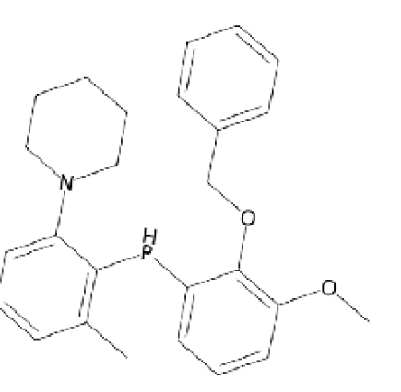 COc1cccc(Pc2c(C)cccc2N2CCCCC2)c1OCc1ccccc1